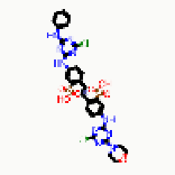 O=S(=O)(O)c1cc(Nc2nc(Cl)nc(Nc3ccccc3)n2)ccc1/C=C/c1ccc(Nc2nc(Cl)nc(N3CCOCC3)n2)cc1S(=O)(=O)O